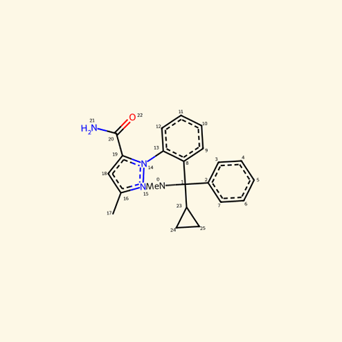 CNC(c1ccccc1)(c1ccccc1-n1nc(C)cc1C(N)=O)C1CC1